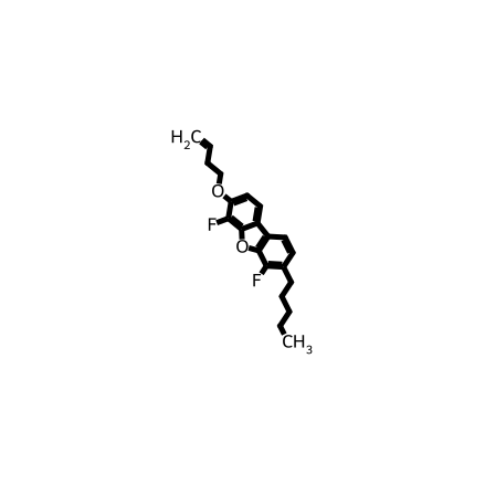 C=CCCOc1ccc2c(oc3c(F)c(CCCCC)ccc32)c1F